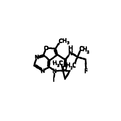 Cc1oc2ncnc(N(I)C3(C)CC3)c2c1C(=O)NC(C)(C)CF